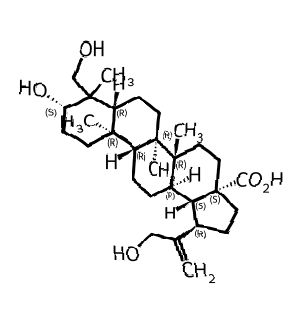 C=C(CO)[C@@H]1CC[C@]2(C(=O)O)CC[C@]3(C)[C@H](CC[C@@H]4[C@@]5(C)CC[C@H](O)C(C)(CO)[C@@H]5CC[C@]43C)[C@@H]12